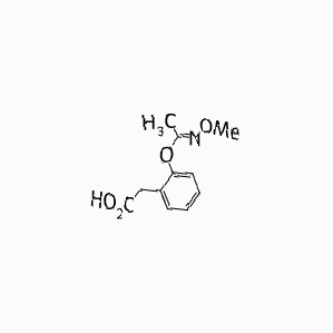 CON=C(C)Oc1ccccc1CC(=O)O